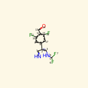 N=C/C(=C\NC(F)F)c1cc(F)c(C=O)c(F)c1